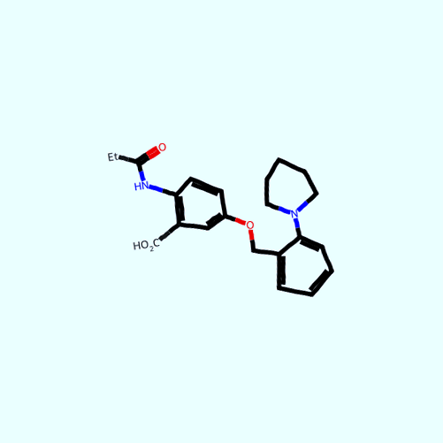 CCC(=O)Nc1ccc(OCc2ccccc2N2CCCCC2)cc1C(=O)O